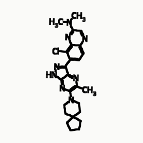 Cc1nc2c(-c3ccc4ncc(N(C)C)nc4c3Cl)n[nH]c2nc1N1CCC2(CCCC2)CC1